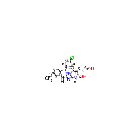 CN1c2nc(Nc3cccc(OC(F)(F)F)c3)n(Cc3ccc(Cl)cc3)c2C(=O)N(CCCO)C1O